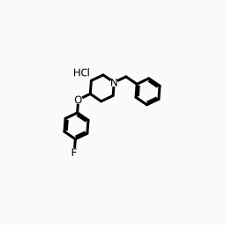 Cl.Fc1ccc(OC2CCN(Cc3ccccc3)CC2)cc1